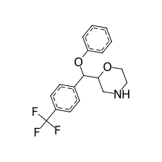 FC(F)(F)c1ccc(C(Oc2ccccc2)C2CNCCO2)cc1